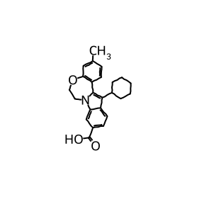 Cc1ccc2c(c1)OCCn1c-2c(C2CCCCC2)c2ccc(C(=O)O)cc21